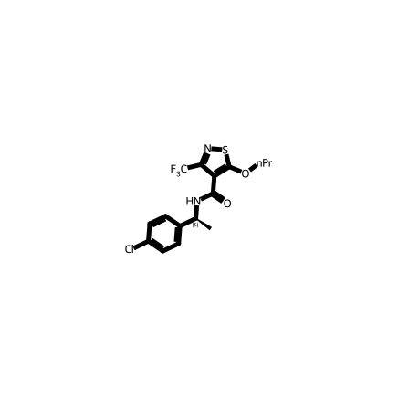 CCCOc1snc(C(F)(F)F)c1C(=O)N[C@@H](C)c1ccc(Cl)cc1